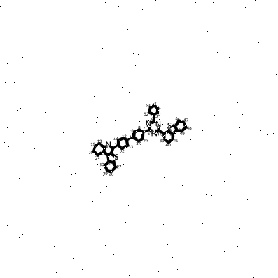 c1ccc(-c2nc(-c3ccc(-c4ccc(-c5nc6ccccc6c6c5sc5ccccc56)cc4)cc3)nc(-c3cccc4c3sc3ccccc34)n2)cc1